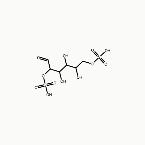 O=CC(OS(=O)(=O)O)C(O)C(O)C(O)COS(=O)(=O)O